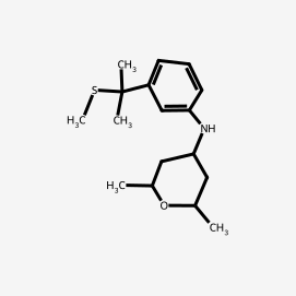 CSC(C)(C)c1cccc(NC2CC(C)OC(C)C2)c1